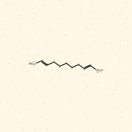 O=C(O)C=CCCCCCC=CC(=O)O